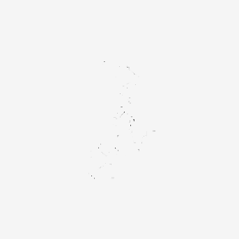 Nc1ncnc(N2CC[C@H](F)[C@H](N3CCC[C@H](Nc4cc(F)cc(Cl)c4)C3=O)C2)c1F